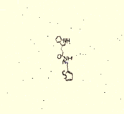 O=C(CCc1c[nH]c2ccccc12)N/N=C/c1cccs1